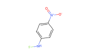 O=[N+]([O-])c1ccc(NF)cc1